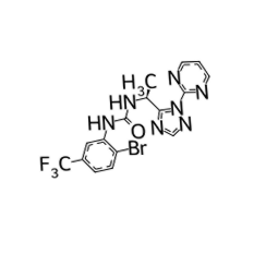 C[C@H](NC(=O)Nc1cc(C(F)(F)F)ccc1Br)c1ncnn1-c1ncccn1